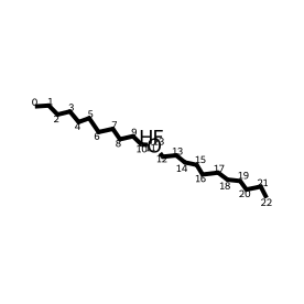 CCCCCCCCCCCOCCCCCCCCCCC.F